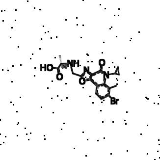 Cc1c(Br)ccc2c3oc(CN[C@@H](C)C(=O)O)nc3c(=O)n(C3CC3)c12